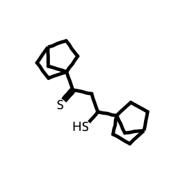 S=C(CC(S)C12CCC(CC1)C2)C12CCC(CC1)C2